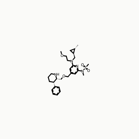 COCCN(C[C@H]1C[C@@H]1C)c1cc(COC[C@H]2NCCC[C@H]2c2ccccc2)cc(N(C)S(C)(=O)=O)n1